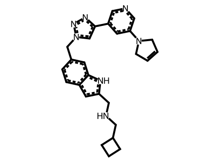 C1=CCN(c2cncc(-c3cn(Cc4ccc5cc(CNCC6CCC6)[nH]c5c4)nn3)c2)C1